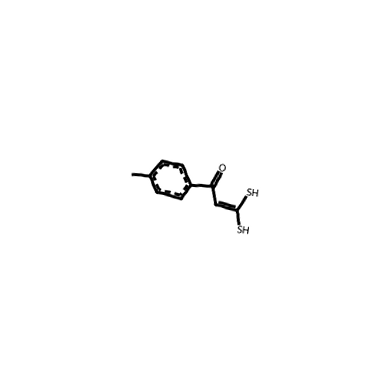 Cc1ccc(C(=O)C=C(S)S)cc1